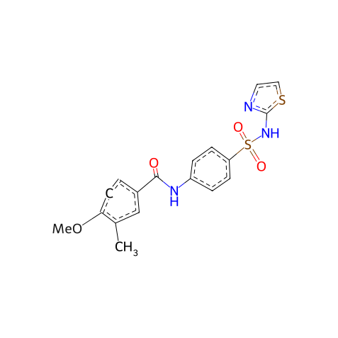 COc1ccc(C(=O)Nc2ccc(S(=O)(=O)Nc3nccs3)cc2)cc1C